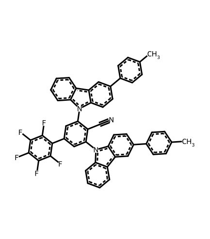 Cc1ccc(-c2ccc3c(c2)c2ccccc2n3-c2cc(-c3c(F)c(F)c(F)c(F)c3F)cc(-n3c4ccccc4c4cc(-c5ccc(C)cc5)ccc43)c2C#N)cc1